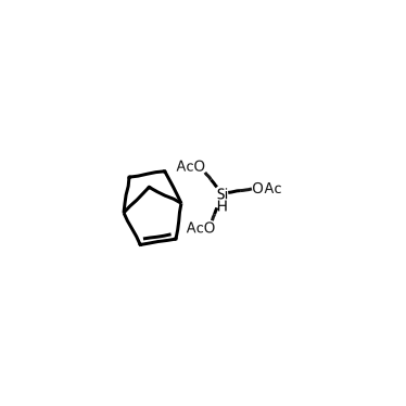 C1=CC2CCC1C2.CC(=O)O[SiH](OC(C)=O)OC(C)=O